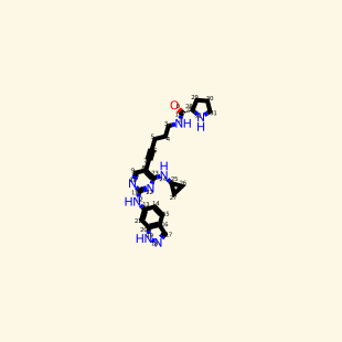 O=C(NCCCC#Cc1cnc(Nc2ccc3cn[nH]c3c2)nc1NC1CC1)[C@@H]1CCCN1